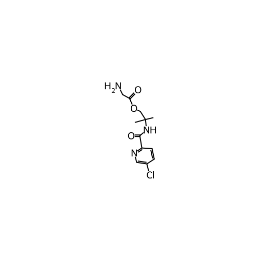 CC(C)(COC(=O)CN)NC(=O)c1ccc(Cl)cn1